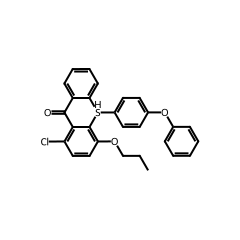 CCCOc1ccc(Cl)c2c1[SH](c1ccc(Oc3ccccc3)cc1)c1ccccc1C2=O